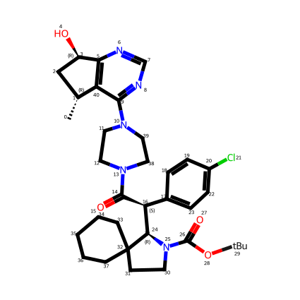 C[C@@H]1C[C@@H](O)c2ncnc(N3CCN(C(=O)[C@@H](c4ccc(Cl)cc4)[C@H]4N(C(=O)OC(C)(C)C)CCC45CCCCC5)CC3)c21